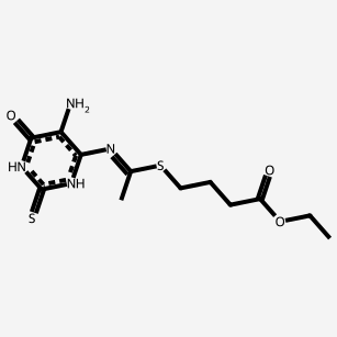 CCOC(=O)CCCS/C(C)=N/c1[nH]c(=S)[nH]c(=O)c1N